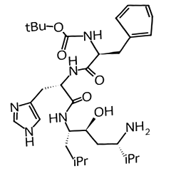 CC(C)C[C@H](NC(=O)[C@H](Cc1c[nH]cn1)NC(=O)[C@H](Cc1ccccc1)NC(=O)OC(C)(C)C)[C@@H](O)C[C@H](N)C(C)C